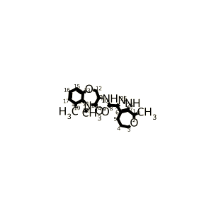 CC1OCCCc2c(C(=O)N[C@H]3COC4=CC=CC(C)C4N(C)C3=O)n[nH]c21